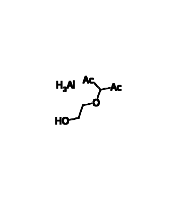 CC(=O)C(OCCO)C(C)=O.[AlH3]